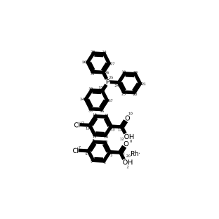 O=C(O)c1ccc(Cl)cc1.O=C(O)c1ccc(Cl)cc1.[Rh].c1ccc(P(c2ccccc2)c2ccccc2)cc1